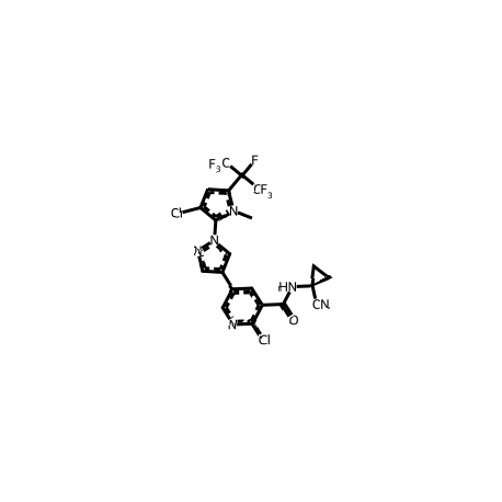 Cn1c(C(F)(C(F)(F)F)C(F)(F)F)cc(Cl)c1-n1cc(-c2cnc(Cl)c(C(=O)NC3(C#N)CC3)c2)cn1